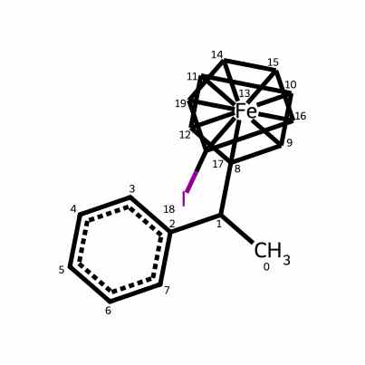 CC(c1ccccc1)[C]12[CH]3[CH]4[CH]5[CH]1[Fe]45321678[CH]2[CH]1[CH]6[C]7(I)[CH]28